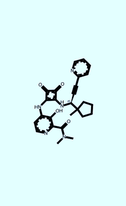 CN(C)C(=O)c1nccc(Nc2c(N[C@@H](C#Cc3ccccn3)C3(C)CCCC3)c(=O)c2=O)c1O